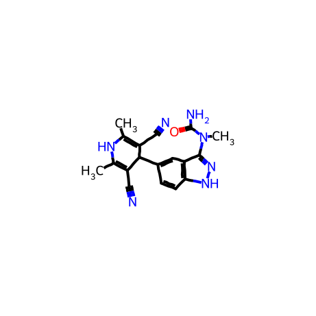 CC1=C(C#N)C(c2ccc3[nH]nc(N(C)C(N)=O)c3c2)C(C#N)=C(C)N1